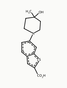 CC1(O)CCN(c2ccc3cc(C(=O)O)sc3c2)CC1